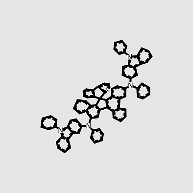 c1ccc(N(c2ccc3c4c(c5ccccc5c3c2)-c2cc(N(c3ccccc3)c3ccc5c(c3)c3ccccc3n5-c3ccccc3)c3ccccc3c2C42c3ccccc3-c3ccccc32)c2ccc3c(c2)c2ccccc2n3-c2ccccc2)cc1